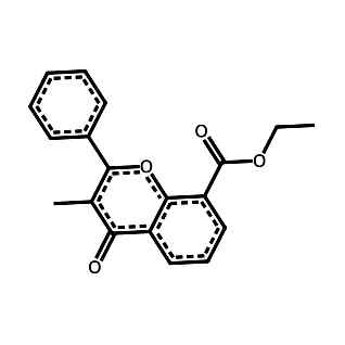 CCOC(=O)c1cccc2c(=O)c(C)c(-c3ccccc3)oc12